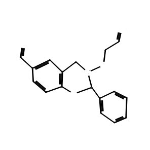 C=CCON1Cc2cc(C=C)ccc2OC1c1ccccc1